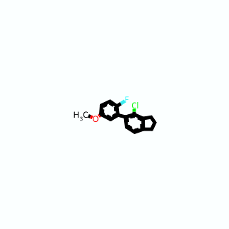 COc1ccc(F)c(-c2ccc3c(c2Cl)CCC3)c1